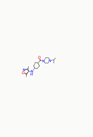 Cc1noc(C)c1NC1CCC(C(=O)N2CCN(C(C)C)CC2)CC1